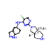 CCOC(=O)[C@]12CCNCC[C@H]1CN(c1ncc(F)c(Nc3ccc4[nH]ncc4c3)n1)C2